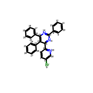 Brc1ccc(-c2nc(-c3ccccc3)nc(-c3ccccc3)c2-c2ccccc2)nc1